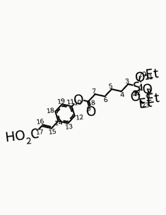 CCO[Si](CCCCCC(=O)Oc1ccc(/C=C/C(=O)O)cc1)(OCC)OCC